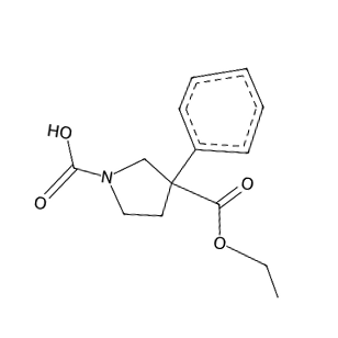 CCOC(=O)C1(c2ccccc2)CCN(C(=O)O)C1